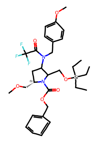 CC[Si](CC)(CC)OCC1C(N(Cc2ccc(OC)cc2)C(=O)C(F)(F)F)C[C@@H](COC)N1C(=O)OCc1ccccc1